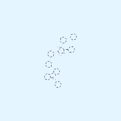 c1ccc(-c2cccc(-c3nc(-c4cccc(-c5cccc(-c6cccc7c6c6ccccc6n7-c6ccccc6)c5)c4)nc4oc5ccccc5c34)c2)cc1